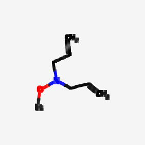 [CH2]CON(CC=C)CC=C